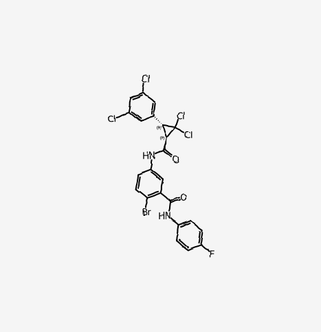 O=C(Nc1ccc(F)cc1)c1cc(NC(=O)[C@H]2[C@H](c3cc(Cl)cc(Cl)c3)C2(Cl)Cl)ccc1Br